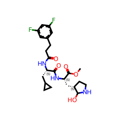 COC(=O)[C@H](C[C@@H]1CCNC1O)NC(=O)[C@H](CC1CC1)NC(=O)CCc1cc(F)cc(F)c1